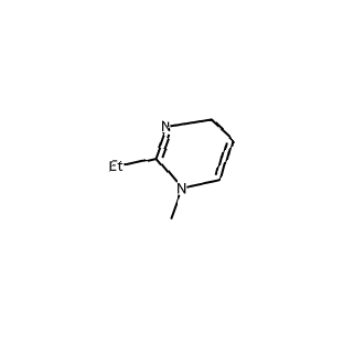 CCC1=NCC=CN1C